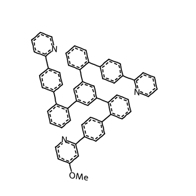 COc1ccnc(-c2ccc(-c3ccccc3-c3cc(-c4ccccc4-c4ccc(-c5ccccn5)cc4)cc(-c4ccccc4-c4ccc(-c5ccccn5)cc4)c3)cc2)c1